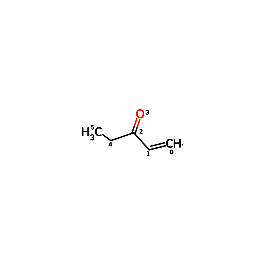 [CH]=CC(=O)CC